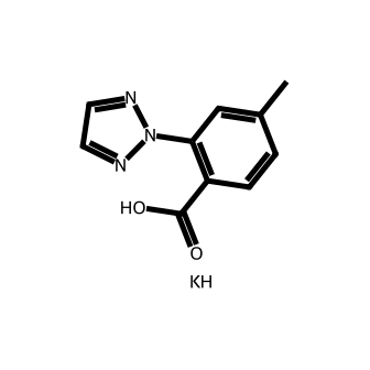 Cc1ccc(C(=O)O)c(-n2nccn2)c1.[KH]